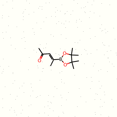 CC(=O)/C=C(\C)B1OC(C)(C)C(C)(C)O1